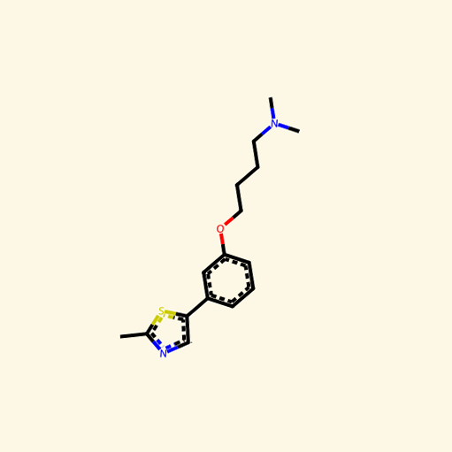 Cc1n[c]c(-c2cccc(OCCCCN(C)C)c2)s1